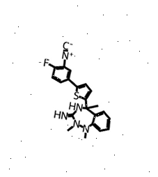 [C-]#[N+]c1cc(-c2ccc(C3(C)NC(=N)N(C)N(C)c4ccccc43)s2)ccc1F